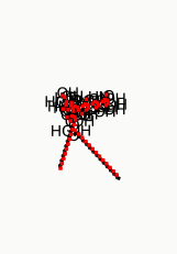 CCCCCCCCCCCCC/C=C/[C@@H](O)[C@H](CO[C@@H]1OC(CO)[C@@H](O[C@@H]2OC(CO)[C@H](O[C@@H]3OC(CO)[C@H](O)[C@H](O[C@@H]4OC(CO)[C@H](O)[C@H](O[C@@H]5OC(CO)[C@@H](O)[C@H](O)C5NC(C)=O)C4O)C3NC(C)=O)[C@H](O[C@]3(C(=O)O)CC(O)[C@@H](NC(C)=O)C([C@H](O)[C@H](O)CO)O3)C2O)[C@H](O)C1O)NC(=O)CCCCCCCCCCCCCCCCCCCCCCCCC